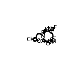 C[C@@H]1[C@@H](C)C/C=C/[C@](O)(c2ccc(F)cn2)[C@@H]2CC[C@H]2CN2CCCCc3cc(Cl)ccc3COc3ccc(cc32)C(=O)NS1(=O)=O